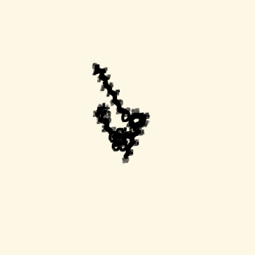 CCCCCCCCCCCCCOc1cccc(CC(COP(=O)(O)OCCCC[N+](C)(C)C)CC(=O)CC)c1